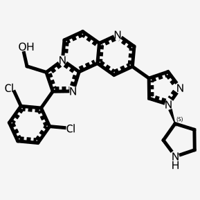 OCc1c(-c2c(Cl)cccc2Cl)nc2c3cc(-c4cnn([C@H]5CCNC5)c4)cnc3ccn12